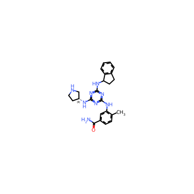 Cc1ccc(C(N)=O)cc1Nc1nc(NC2CCc3ccccc32)nc(N[C@@H]2CCNC2)n1